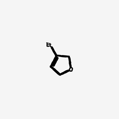 CCC1=CCOC1